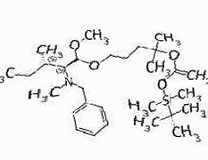 C=C(OC(C)(C)CCCOC(OC)[C@H]([C@@H](C)CC)N(C)Cc1ccccc1)O[Si](C)(C)C(C)(C)C